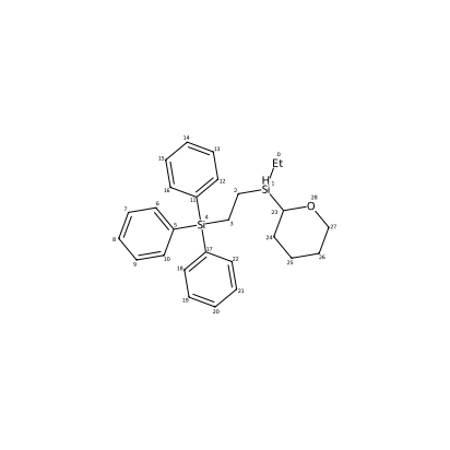 CC[SiH](CC[Si](c1ccccc1)(c1ccccc1)c1ccccc1)C1CCCCO1